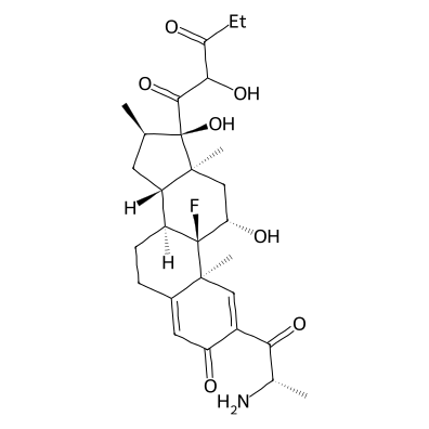 CCC(=O)C(O)C(=O)[C@@]1(O)[C@H](C)C[C@H]2[C@@H]3CCC4=CC(=O)C(C(=O)[C@H](C)N)=C[C@]4(C)[C@@]3(F)[C@@H](O)C[C@@]21C